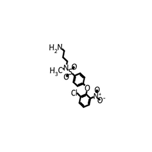 CN(CCCN)S(=O)(=O)c1ccc(Oc2c(Cl)cccc2[N+](=O)[O-])cc1